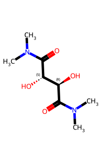 CN(C)C(=O)[C@@H](O)[C@@H](O)C(=O)N(C)C